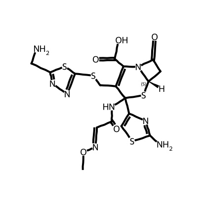 CON=CC(=O)NC1(c2csc(N)n2)S[C@H]2CC(=O)N2C(C(=O)O)=C1CSc1nnc(CN)s1